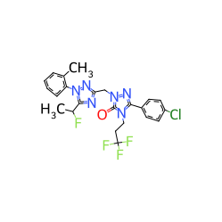 Cc1ccccc1-n1nc(Cn2nc(-c3ccc(Cl)cc3)n(CCC(F)(F)F)c2=O)nc1C(C)F